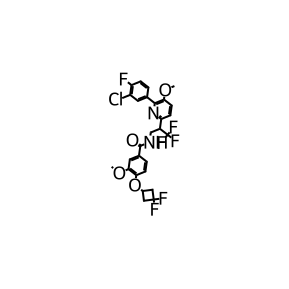 COc1cc(C(=O)NCC(c2ccc(OC)c(-c3ccc(F)c(Cl)c3)n2)C(F)(F)F)ccc1OC1CC(F)(F)C1